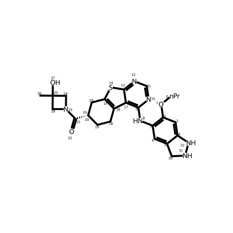 CCCOc1cc2c(cc1Nc1ncnc3sc4c(c13)CC[C@H](C(=O)N1CC(C)(O)C1)C4)CNN2